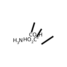 CC.CC(=O)O.CC(=O)O.N